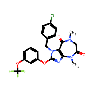 CN1CC(=O)N(C)c2nc(Oc3cccc(OC(F)(F)F)c3)n(Cc3ccc(Cl)cc3)c2C1=O